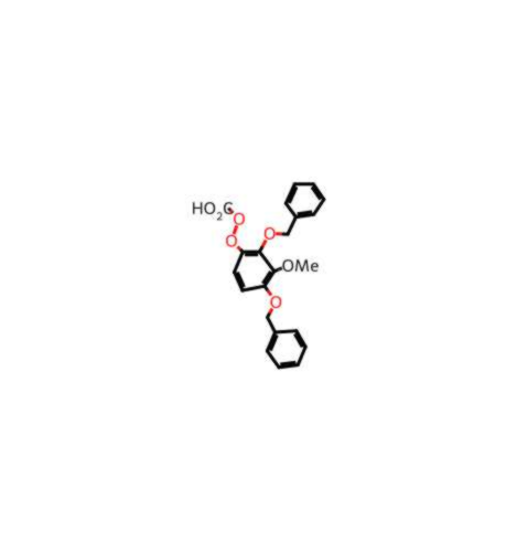 COc1c(OCc2ccccc2)ccc(OOC(=O)O)c1OCc1ccccc1